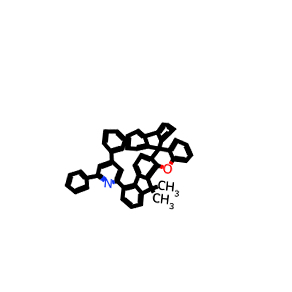 CC1(C)c2cccc(-c3cc(-c4ccccc4)cc(-c4ccccc4)n3)c2-c2ccc3c(c21)Oc1ccccc1C31c2ccccc2-c2ccccc21